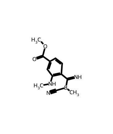 CNc1cc(C(=O)OC)ccc1C(=N)B(C)C#N